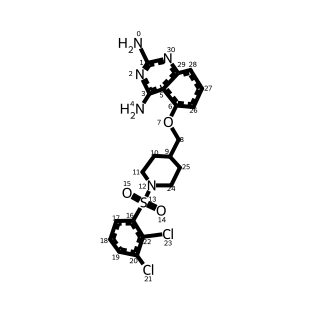 Nc1nc(N)c2c(OCC3CCN(S(=O)(=O)c4cccc(Cl)c4Cl)CC3)cccc2n1